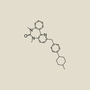 CC1CCC(c2ccc(Cc3ccc4c(n3)-c3ccccc3N(C)C(=O)N4C)cc2)CC1